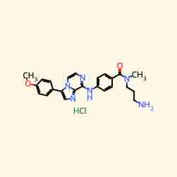 COc1ccc(-c2cnc3c(Nc4ccc(C(=O)N(C)CCCN)cc4)nccn23)cc1.Cl